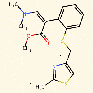 COC(=O)C(=CN(C)C)c1ccccc1SCc1csc(C)n1